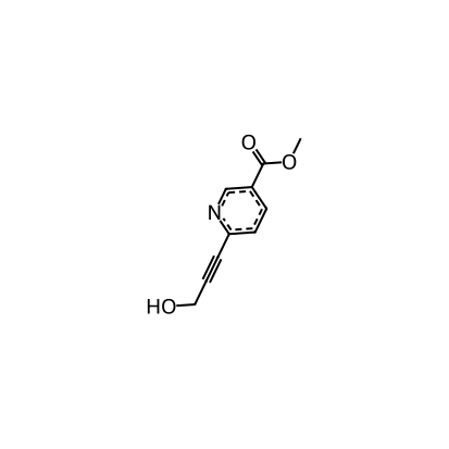 COC(=O)c1ccc(C#CCO)nc1